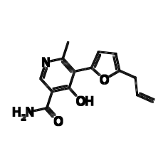 C=CCc1ccc(-c2c(C)ncc(C(N)=O)c2O)o1